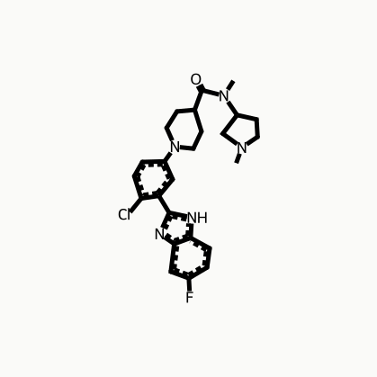 CN1CCC(N(C)C(=O)C2CCN(c3ccc(Cl)c(-c4nc5cc(F)ccc5[nH]4)c3)CC2)C1